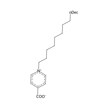 CCCCCCCCCCCCCCCCCC[n+]1ccc(C(=O)[O-])cc1